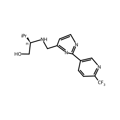 CC(C)[C@H](CO)NCc1ccnc(-c2ccc(C(F)(F)F)nc2)n1